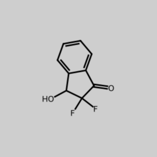 O=C1c2ccccc2C(O)C1(F)F